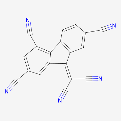 N#CC(C#N)=C1c2cc(C#N)ccc2-c2c(C#N)cc(C#N)cc21